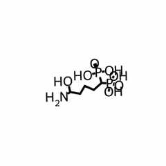 NC(O)CCCC(P(=O)(O)O)P(=O)(O)O